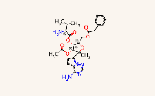 CC(=O)O[C@@H]1[C@H](OC(=O)[C@@H](N)C(C)C)[C@@H](COC(=O)Cc2ccccc2)O[C@@]1(C)c1ccc2c(N)ncnn12